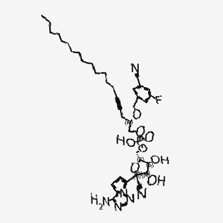 CCCCCCCCCCCCCCC#CC[C@H](COP(=O)(O)OC[C@H]1O[C@@](C#N)(c2ccc3c(N)ncnn23)[C@H](O)[C@@H]1O)OCc1cc(F)cc(C#N)c1